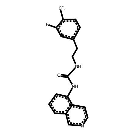 O=C(NCCc1ccc(C(F)(F)F)c(F)c1)Nc1cccc2cnccc12